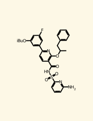 CC(C)COc1cc(F)cc(-c2ccc(C(=O)NS(=O)(=O)c3cccc(N)n3)c(OC(C)Cc3ccccc3)n2)c1